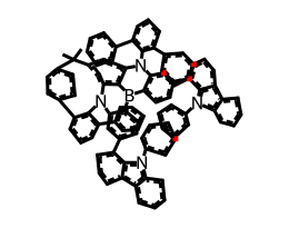 CC1(C)c2ccc(cc2)-c2cccc(-c3ccccc3)c2N2c3cc(-c4cccc5c6ccccc6n(-c6ccccc6)c45)ccc3B3c4ccc(-c5cccc6c7ccccc7n(-c7ccccc7)c56)cc4N(c4c(-c5ccccc5)cccc4-c4ccccc4)c4cc1cc2c43